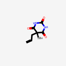 C=CCC1(CCCC)C(=O)NC(=O)NC1=O